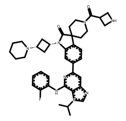 CC(C)n1cnc2cc(-c3ccc4c(c3)N([C@H]3C[C@@H](N5CCCCC5)C3)C(=O)C43CCN(C(=O)C4CNC4)CC3)nc(Nc3ccccc3F)c21